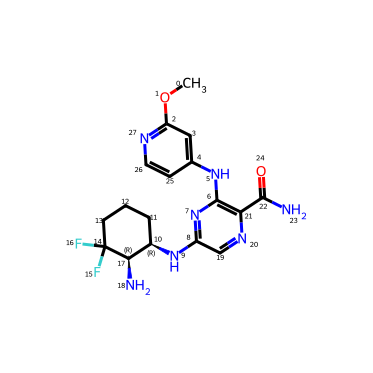 COc1cc(Nc2nc(N[C@@H]3CCCC(F)(F)[C@@H]3N)cnc2C(N)=O)ccn1